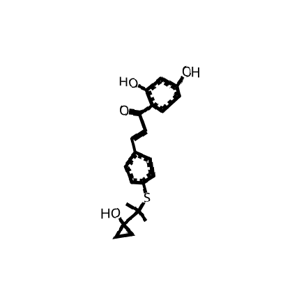 CC(C)(Sc1ccc(/C=C/C(=O)c2ccc(O)cc2O)cc1)C1(O)CC1